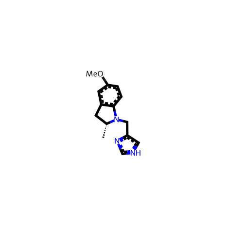 COc1ccc2c(c1)C[C@@H](C)N2Cc1c[nH]cn1